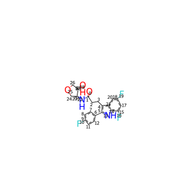 O=C(CCc1c(-c2ccc(F)cc2)[nH]c2c(F)cc(F)cc12)N[C@H]1COC[C@@H]1O